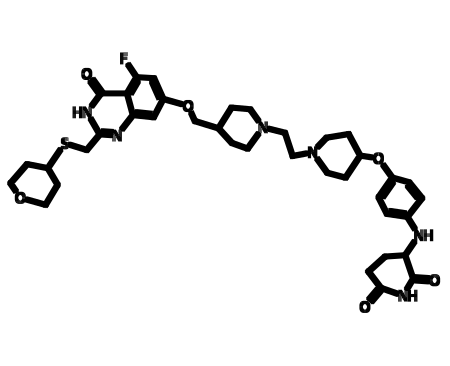 O=C1CCC(Nc2ccc(OC3CCN(CCN4CCC(COc5cc(F)c6c(=O)[nH]c(CSC7CCOCC7)nc6c5)CC4)CC3)cc2)C(=O)N1